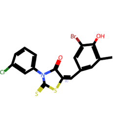 Cc1cc(/C=C2/SC(=S)N(c3cccc(Cl)c3)C2=O)cc(Br)c1O